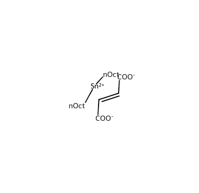 CCCCCCC[CH2][Sn+2][CH2]CCCCCCC.O=C([O-])C=CC(=O)[O-]